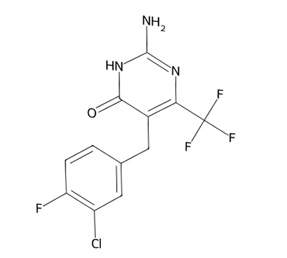 Nc1nc(C(F)(F)F)c(Cc2ccc(F)c(Cl)c2)c(=O)[nH]1